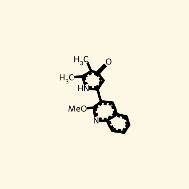 COc1nc2ccccc2cc1-c1cc(=O)c(C)c(C)[nH]1